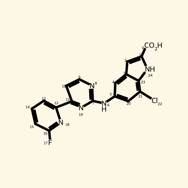 O=C(O)c1cc2cc(Nc3nccc(-c4cccc(F)n4)n3)cc(Cl)c2[nH]1